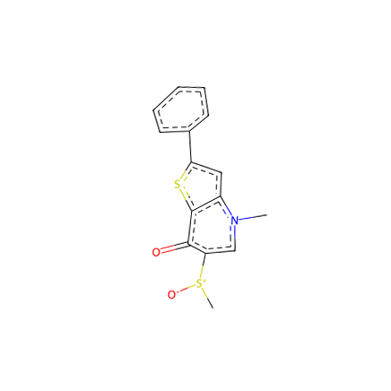 Cn1cc([S+](C)[O-])c(=O)c2sc(-c3ccccc3)cc21